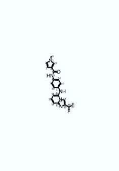 Cn1ccc(C(=O)Nc2ccc(Nc3cccc4nc(C(F)F)cn34)cc2)c1